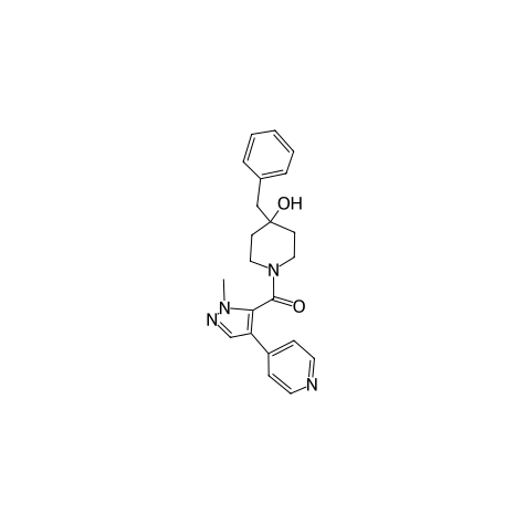 Cn1ncc(-c2ccncc2)c1C(=O)N1CCC(O)(Cc2ccccc2)CC1